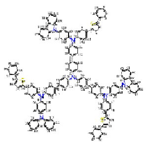 c1ccc(-c2ccc(-c3ccc(N(c4ccc(-c5ccc(N(c6ccc(-c7ccc(N(c8ccc(-c9ccc(-c%10ccccc%10)s9)cc8)c8ccc(-n9c%10ccccc%10c%10ccccc%109)cc8)cc7)cc6)c6ccc(-c7ccc(N(c8ccc(-c9ccc(-c%10ccccc%10)s9)cc8)c8ccc(-n9c%10ccccc%10c%10ccccc%109)cc8)cc7)cc6)cc5)cc4)c4ccc(-n5c6ccccc6c6ccccc65)cc4)cc3)s2)cc1